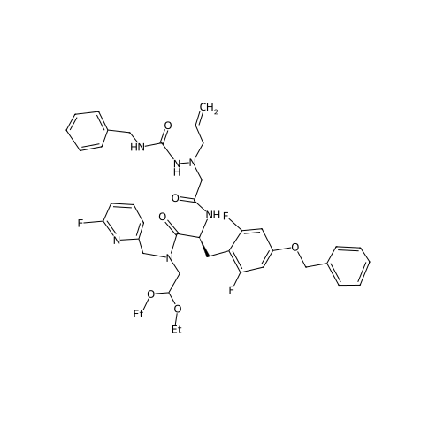 C=CCN(CC(=O)N[C@@H](Cc1c(F)cc(OCc2ccccc2)cc1F)C(=O)N(Cc1cccc(F)n1)CC(OCC)OCC)NC(=O)NCc1ccccc1